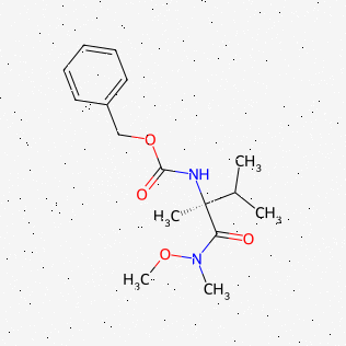 CON(C)C(=O)[C@@](C)(NC(=O)OCc1ccccc1)C(C)C